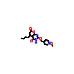 CCCCc1cc(=O)oc2nc(OCc3cc[n+](OC)cc3)[nH]c(=O)c12